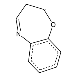 [CH]1CC=Nc2ccccc2O1